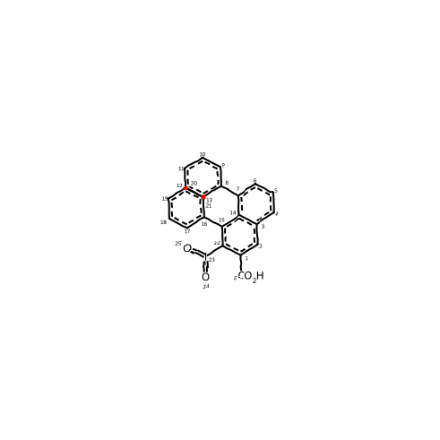 O=C(O)c1cc2cccc(-c3ccccc3)c2c(-c2ccccc2)c1I(=O)=O